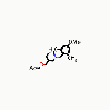 COc1cc(C)c(CN2CCCC(COCC(C)=O)C2)c(C)c1